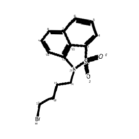 O=S1(=O)c2cccc3cccc(c23)N1CCCCBr